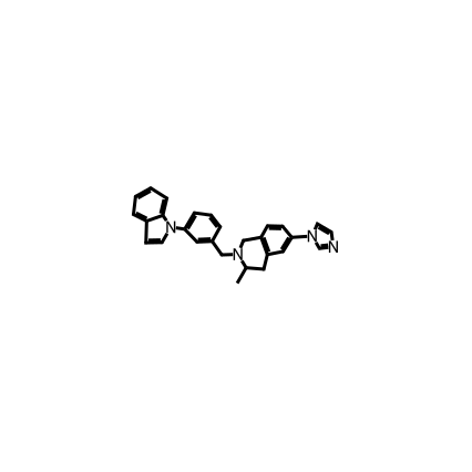 CC1Cc2cc(-n3ccnc3)ccc2CN1Cc1cccc(-n2ccc3ccccc32)c1